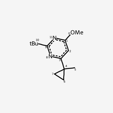 COc1cc(C2(C)CC2)nc(C(C)(C)C)n1